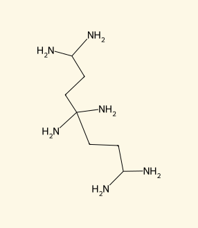 NC(N)CCC(N)(N)CCC(N)N